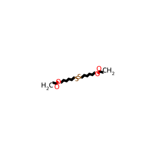 C=CC(=O)OCCCCCCSSCCCCCCOC(=O)C=C